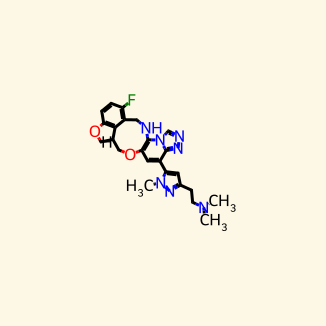 CN(C)CCc1cc(-c2cc3c(n4cnnc24)NCc2c(F)ccc4c2[C@H](CO4)CO3)n(C)n1